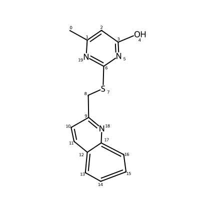 Cc1cc(O)nc(SCc2ccc3ccccc3n2)n1